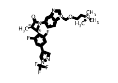 C[C@H]1C(=O)N(c2ccc3c(c2)ncn3COCC[Si](C)(C)C)[C@H]1c1c(F)cc(-c2cnn(C(F)(F)F)c2)cc1F